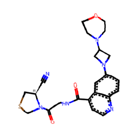 N#C[C@@H]1CSCN1C(=O)CNC(=O)c1ccnc2ccc(N3CC(N4CCOCC4)C3)cc12